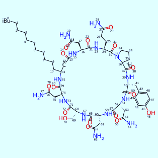 CCC(C)CCCCCCCCCCC1CC(=O)N[C@@H](CC(N)=O)C(=O)N[C@@H](CCC(N)=O)C(=O)N2CCC[C@H]2C(=O)N[C@H](Cc2ccc(O)cc2)C(=O)N[C@H](CC(N)=O)C(=O)N[C@H](CC(N)=O)C(=O)N[C@H](CO)C(=O)N[C@@H](CC(N)=O)C(=O)N1